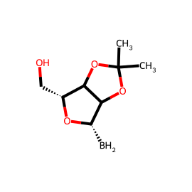 B[C@@H]1O[C@H](CO)C2OC(C)(C)OC21